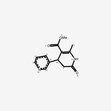 COC(=O)C1=C(C)NC(=O)CC1c1cccnc1